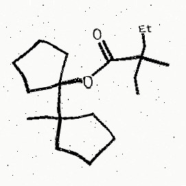 CCC(C)(C)C(=O)OC1(C2(C)CCCC2)CCCC1